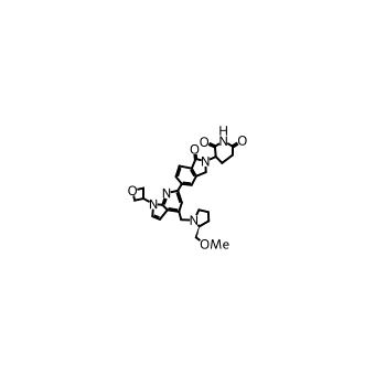 COC[C@@H]1CCCN1Cc1cc(-c2ccc3c(c2)CN(C2CCC(=O)NC2=O)C3=O)nc2c1ccn2C1COC1